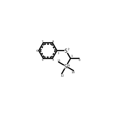 CC(Sc1ccccc1)[Si](C)(C)C